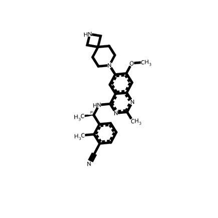 COc1cc2nc(C)nc(N[C@H](C)c3cccc(C#N)c3C)c2cc1N1CCC2(CC1)CNC2